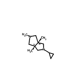 CN1C[C@@]2(C)CN(C3CC3)C[C@@]2(C)C1